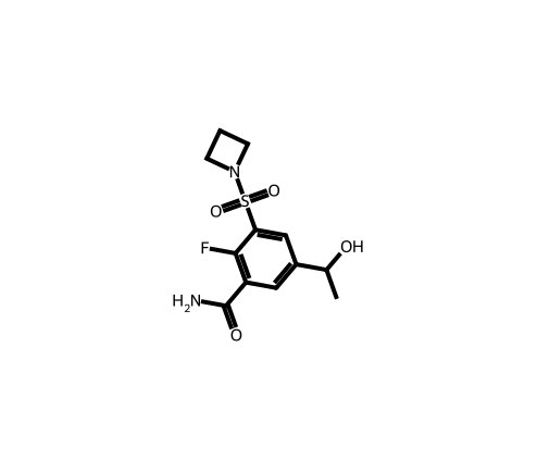 CC(O)c1cc(C(N)=O)c(F)c(S(=O)(=O)N2CCC2)c1